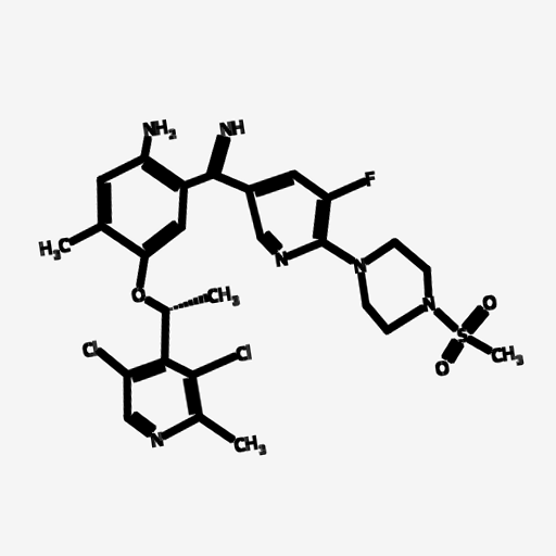 Cc1cc(N)c(C(=N)c2cnc(N3CCN(S(C)(=O)=O)CC3)c(F)c2)cc1O[C@H](C)c1c(Cl)cnc(C)c1Cl